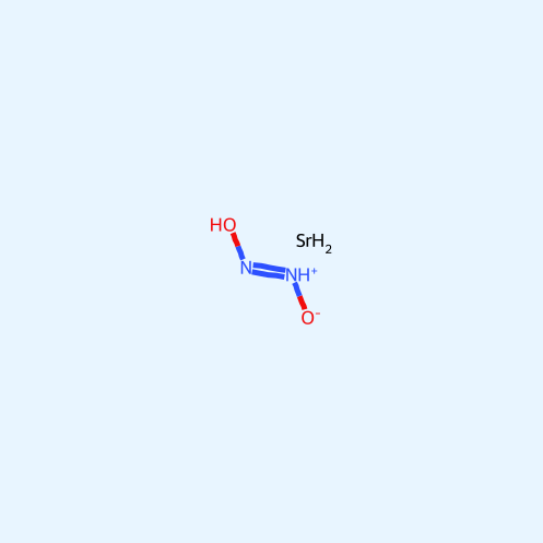 [O-][NH+]=NO.[SrH2]